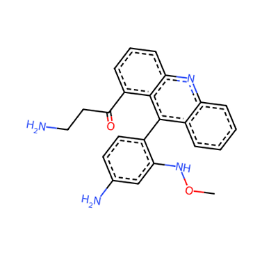 CONc1cc(N)ccc1-c1c2ccccc2nc2cccc(C(=O)CCN)c12